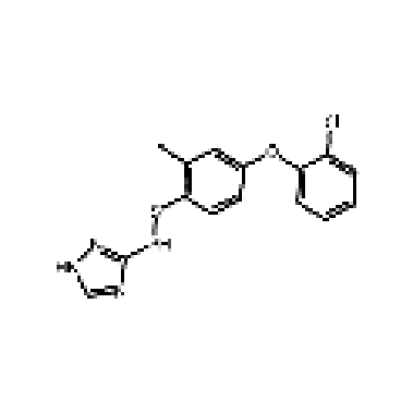 Cc1cc(Oc2ccccc2Cl)ccc1SPc1nc[nH]n1